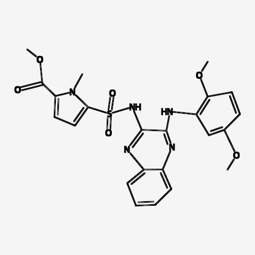 COC(=O)c1ccc(S(=O)(=O)Nc2nc3ccccc3nc2Nc2cc(OC)ccc2OC)n1C